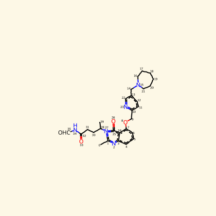 Cc1nc2cccc(OCc3ccc(CN4CCCCCC4)cn3)c2c(=O)n1C(C)CCC(=O)NC=O